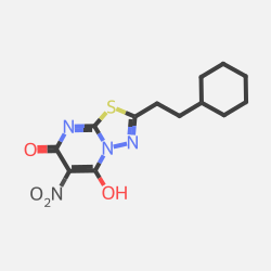 O=c1nc2sc(CCC3CCCCC3)nn2c(O)c1[N+](=O)[O-]